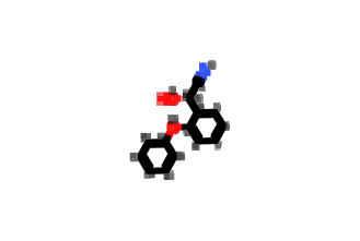 N#C[C@@H](O)c1ccccc1Oc1ccccc1